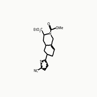 CCOC(=O)C1CC2CC(c3ccc(C#N)s3)CC=C2CN1C(=O)OC